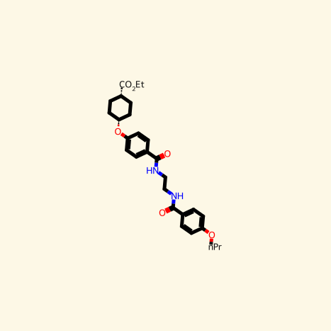 CCCOc1ccc(C(=O)NCCNC(=O)c2ccc(O[C@H]3CC[C@@H](C(=O)OCC)CC3)cc2)cc1